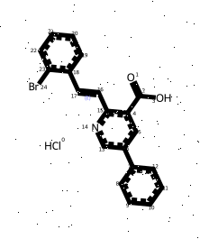 Cl.O=C(O)c1cc(-c2ccccc2)cnc1/C=C/c1ccccc1Br